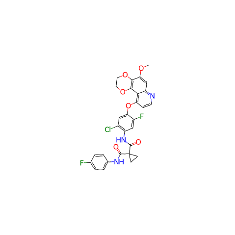 COc1cc2nccc(Oc3cc(Cl)c(NC(=O)C4(C(=O)Nc5ccc(F)cc5)CC4)cc3F)c2c2c1OCCO2